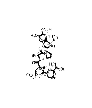 CC[C@H](C)[C@H](N)C(=O)N[C@@H](CC(C)C)C(=O)N[C@@H](CC(=O)O)C(=O)N[C@H](C(=O)N1CCC[C@H]1C(=O)N[C@@H](CO)C(=O)N[C@H](C(=O)O)[C@@H](C)O)C(C)C